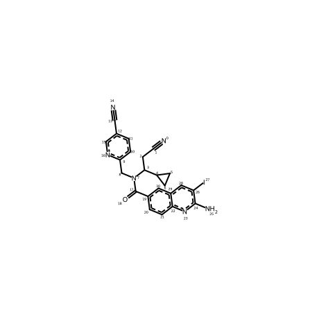 N#CCC(C1CC1)N(Cc1ccc(C#N)cn1)C(=O)c1ccc2nc(N)c(I)cc2c1